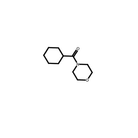 O=C([C]1CCCCC1)N1CCOCC1